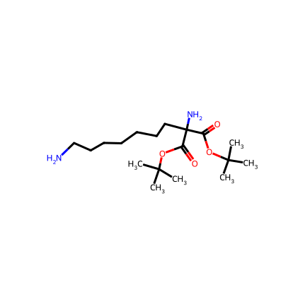 CC(C)(C)OC(=O)C(N)(CCCCCCCN)C(=O)OC(C)(C)C